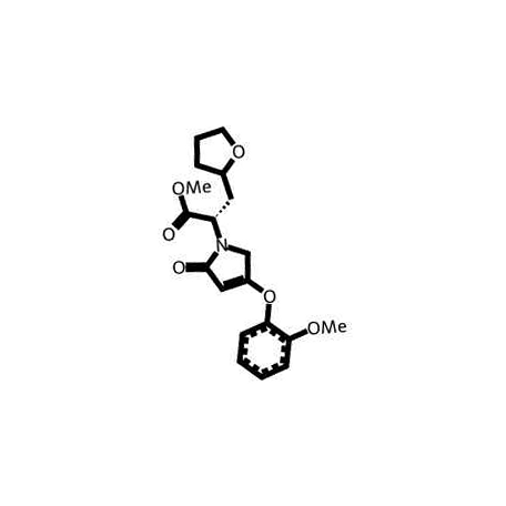 COC(=O)[C@H](CC1CCCO1)N1CC(Oc2ccccc2OC)=CC1=O